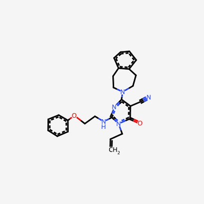 C=CCn1c(NCCOc2ccccc2)nc(N2CCc3ccccc3CC2)c(C#N)c1=O